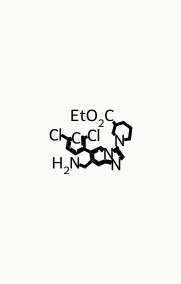 CCOC(=O)C1CCCN(c2cnc3cc(CN)c(-c4ccc(Cl)cc4Cl)cn23)C1